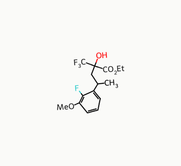 CCOC(=O)C(O)(CC(C)c1cccc(OC)c1F)C(F)(F)F